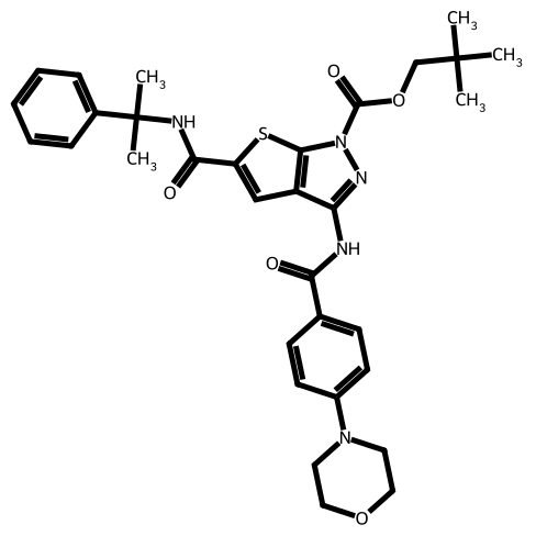 CC(C)(C)COC(=O)n1nc(NC(=O)c2ccc(N3CCOCC3)cc2)c2cc(C(=O)NC(C)(C)c3ccccc3)sc21